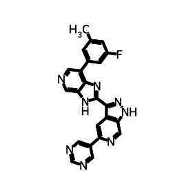 Cc1cc(F)cc(-c2cncc3[nH]c(-c4n[nH]c5cnc(-c6cncnc6)cc45)nc23)c1